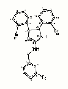 Fc1cccc(CNC2=NC(c3ccccc3Br)C(c3ccccc3Br)N2)c1